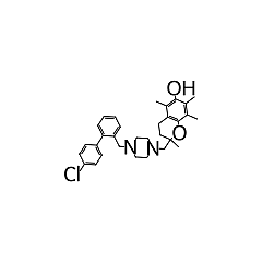 Cc1c(C)c2c(c(C)c1O)CCC(C)(CN1CCN(Cc3ccccc3-c3ccc(Cl)cc3)CC1)O2